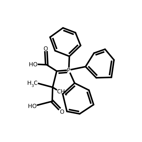 CC(C)(C(=O)O)C(C(=O)O)=P(c1ccccc1)(c1ccccc1)c1ccccc1